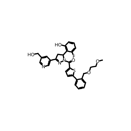 COCCOCc1ccccc1-c1ccc(C(=O)N2N=C(c3cncc(CO)c3)CC2c2c(O)cccc2F)s1